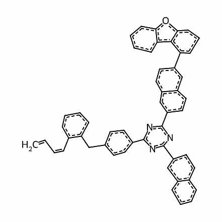 C=C/C=C\c1ccccc1Cc1ccc(-c2nc(-c3ccc4ccccc4c3)nc(-c3ccc4cc(-c5cccc6oc7ccccc7c56)ccc4c3)n2)cc1